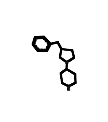 c1ccc(CC2CCN(C3CCNCC3)C2)cc1